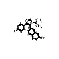 CC(C)n1cnc(-c2ccc(F)cc2)c1-c1ccc2ncc(Br)cc2c1